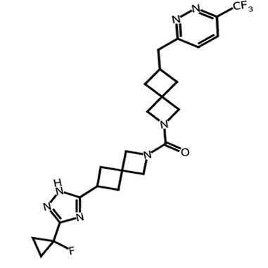 O=C(N1CC2(CC(Cc3ccc(C(F)(F)F)nn3)C2)C1)N1CC2(CC(c3nc(C4(F)CC4)n[nH]3)C2)C1